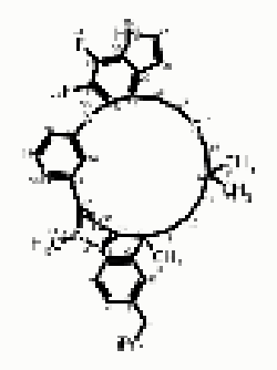 CC(C)Cc1cccc([C@@]2(C)CCCC(C)(C)CSCCc3c(c(F)c(F)c4[nH]ccc34)Sc3ccnc(c3)-c3nc2nn3C)c1